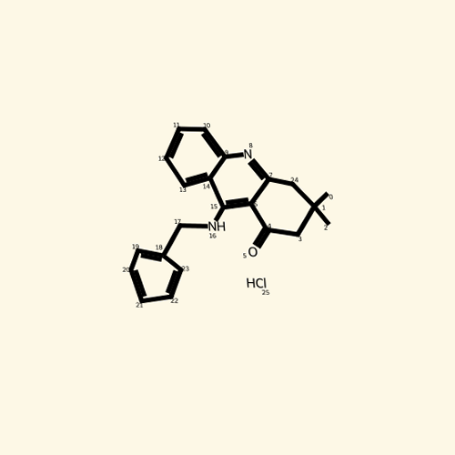 CC1(C)CC(=O)c2c(nc3ccccc3c2NCc2ccccc2)C1.Cl